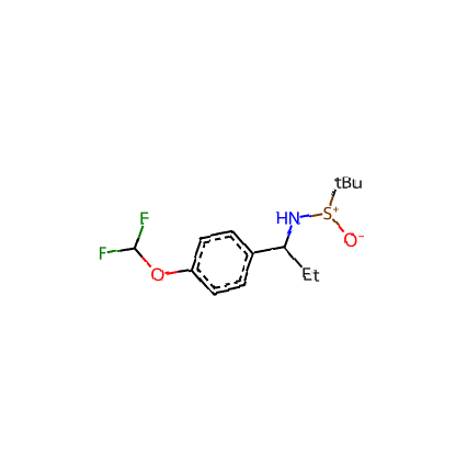 CCC(N[S+]([O-])C(C)(C)C)c1ccc(OC(F)F)cc1